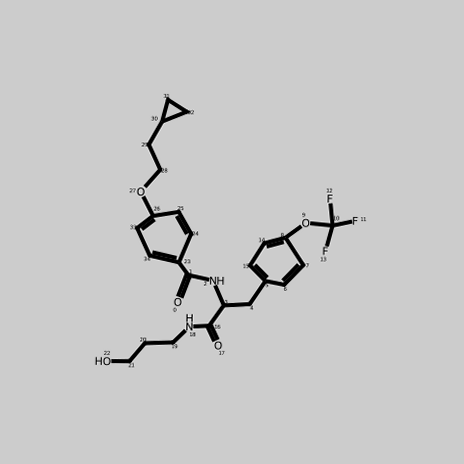 O=C(NC(Cc1ccc(OC(F)(F)F)cc1)C(=O)NCCCO)c1ccc(OCCC2CC2)cc1